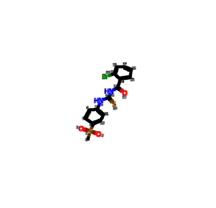 CS(=O)(=O)c1ccc(NC(=S)NC(=O)c2ccccc2Br)cc1